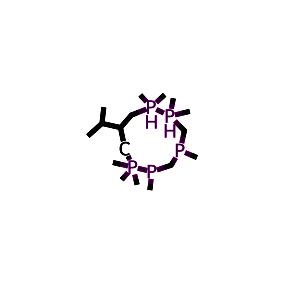 CC(C)C1C[PH](C)(C)[PH](C)(C)CP(C)CP(C)P(C)(C)(C)C1